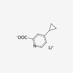 O=C([O-])c1cc(C2CC2)ccn1.[Li+]